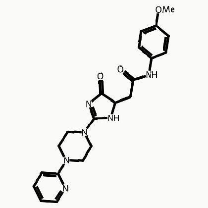 COc1ccc(NC(=O)CC2NC(N3CCN(c4ccccn4)CC3)=NC2=O)cc1